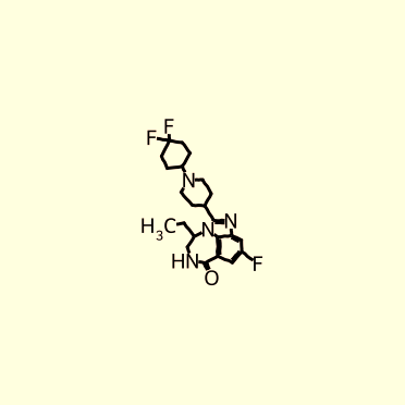 CCC1CNC(=O)c2cc(F)cc3nc(C4CCN(C5CCC(F)(F)CC5)CC4)n1c23